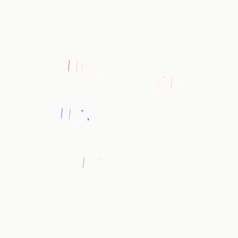 CC(N)(CO)CO.Cl